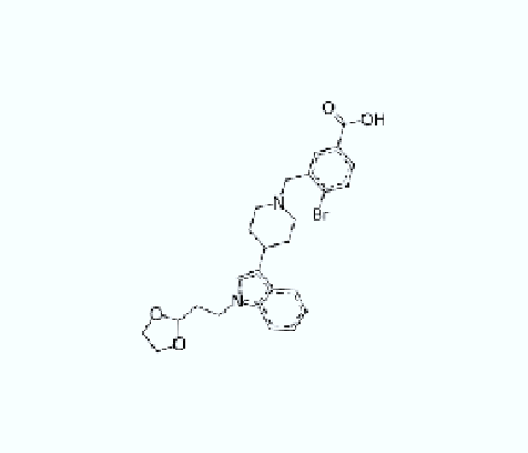 O=C(O)c1ccc(Br)c(CN2CCC(c3cn(CCC4OCCO4)c4ccccc34)CC2)c1